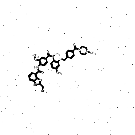 COc1cc(C(=O)N(C)c2ccc(C)cc2OCc2ccc(C(=O)N3CCN(C)CC3)cc2)ccc1NC(=O)c1cccc2[nH]c(CN)nc12